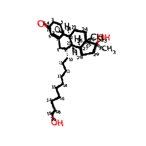 C[C@]12CCC(=O)C=C1C[C@@H](CCCCCCCCCCO)[C@@H]1[C@@H]2CC[C@@]2(C)[C@H]1CC[C@]2(C)O